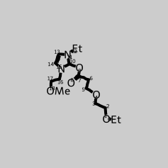 CCOCCOCCC(=O)OC1N(CC)C=CN1CCOC